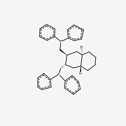 c1ccc(P(C[C@H]2C[C@H]3CCCC[C@@H]3C[C@@H]2CP(c2ccccc2)c2ccccc2)c2ccccc2)cc1